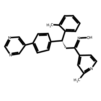 Cc1cc(/C(C[C@H](c2ccc(-c3cncnc3)cc2)c2ccccc2C)=N\O)ccn1